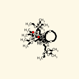 CCO[Si](CCCS(S)(SS)C1(S(S)(CCC[Si](OCC)(OCC)OCC)SS)CCCCCCCCCCC1(S(S)(CCC[Si](OCC)(OCC)OCC)SS)S(S)(CCC[Si](OCC)(OCC)OCC)SS)(OCC)OCC